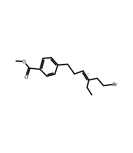 CC/C(=C\CCc1ccc(C(=O)OC)cc1)CCBr